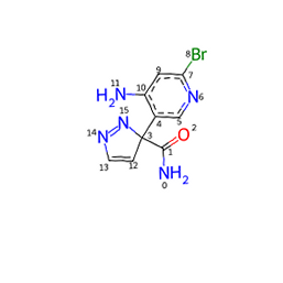 NC(=O)C1(c2cnc(Br)cc2N)C=CN=N1